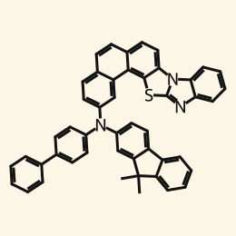 CC1(C)c2ccccc2-c2ccc(N(c3ccc(-c4ccccc4)cc3)c3ccc4ccc5ccc6c(sc7nc8ccccc8n76)c5c4c3)cc21